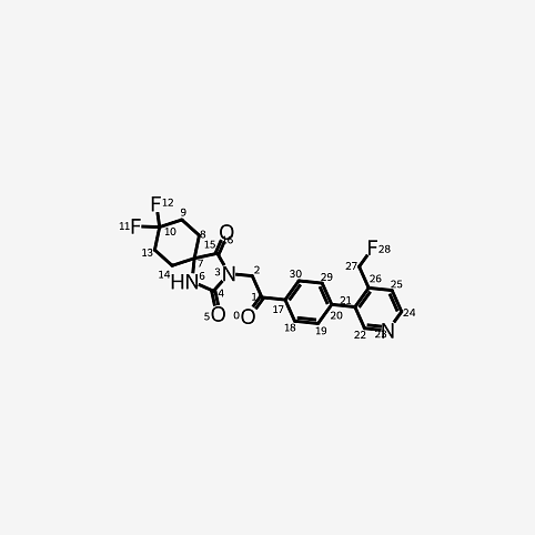 O=C(CN1C(=O)NC2(CCC(F)(F)CC2)C1=O)c1ccc(-c2cnccc2CF)cc1